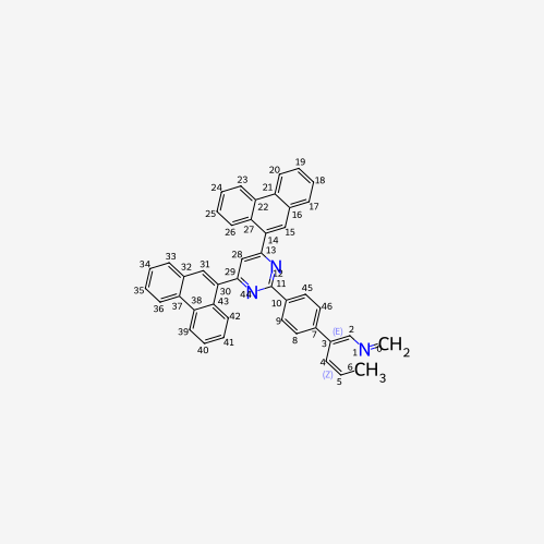 C=N/C=C(\C=C/C)c1ccc(-c2nc(-c3cc4ccccc4c4ccccc34)cc(-c3cc4ccccc4c4ccccc34)n2)cc1